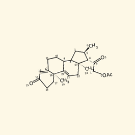 CC(=O)OCC(=O)[C@H]1[C@H](C)CC2C3CCC4=CC(=O)CC[C@]4(C)C3=CC[C@@]21C